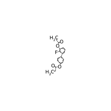 C=CC(=O)Oc1ccc(-c2cccc(OC(=O)C=C)c2F)cc1